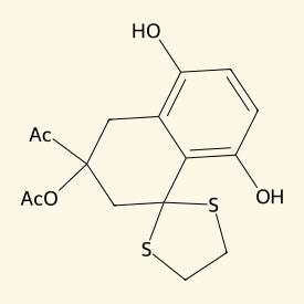 CC(=O)OC1(C(C)=O)Cc2c(O)ccc(O)c2C2(C1)SCCS2